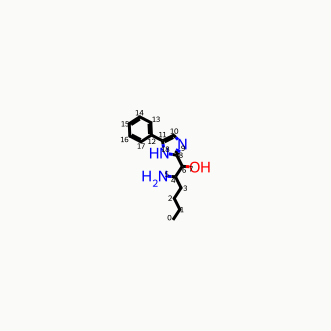 CCCCC(N)C(O)c1ncc(-c2ccccc2)[nH]1